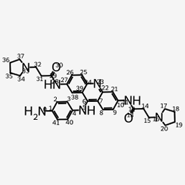 Nc1ccc(Nc2c3ccc(NC(=O)CCN4CCCC4)cc3nc3ccc(NC(=O)CCN4CCCC4)cc23)cc1